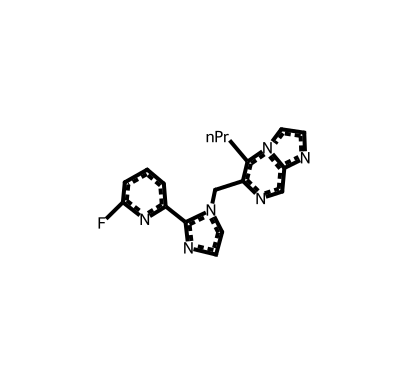 CCCc1c(Cn2ccnc2-c2cccc(F)n2)ncc2nccn12